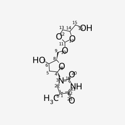 Cc1cn([C@H]2CC(O)[C@@H](COC3OCC(CO)O3)O2)c(=O)[nH]c1=O